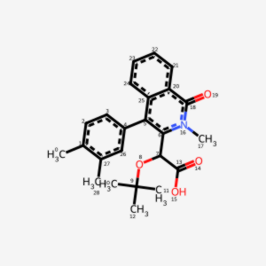 Cc1ccc(-c2c(C(OC(C)(C)C)C(=O)O)n(C)c(=O)c3ccccc23)cc1C